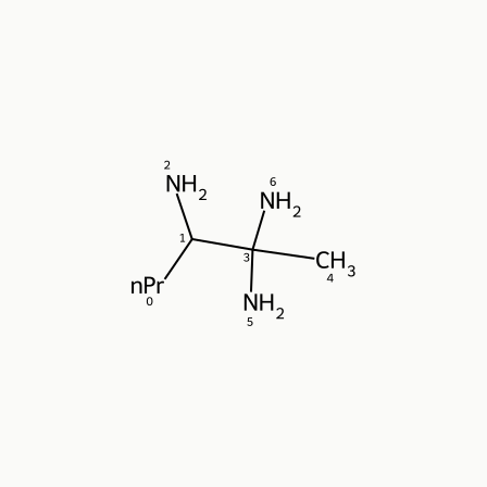 CCCC(N)C(C)(N)N